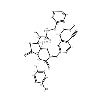 C#Cc1ccc(CN2C[C@H]3N(C(=O)CN3N(C)C(=O)NCc3ccccc3)[C@@H](Cc3ccc(O)cc3)C2=O)cc1OCCC